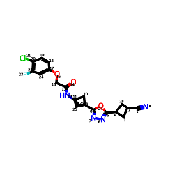 N#CC1CC(c2nnc(C34CC(NC(=O)COc5ccc(Cl)c(F)c5)(C3)C4)o2)C1